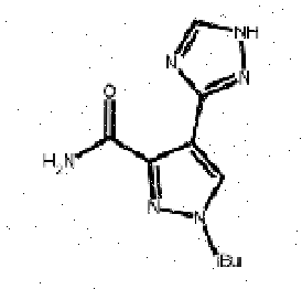 CCC(C)n1cc(-c2nc[nH]n2)c(C(N)=O)n1